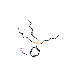 CCCCCC[P+](CCCCCC)(CCCCCC)c1ccccc1.CC[O-]